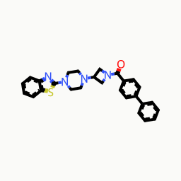 O=C(c1ccc(-c2ccccc2)cc1)N1CC(N2CCN(c3nc4ccccc4s3)CC2)C1